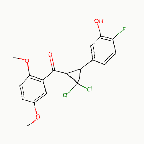 COc1ccc(OC)c(C(=O)C2C(c3ccc(F)c(O)c3)C2(Cl)Cl)c1